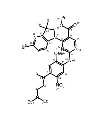 CCN(CC)CCN(C)c1cc(OC)c(Nc2ncc(C(=O)OC(C)C)c(N3CC(C)(C)c4nc(Br)ccc43)n2)cc1[N+](=O)[O-]